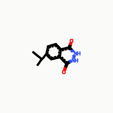 CC(C)c1ccc2c(=O)[nH][nH]c(=O)c2c1